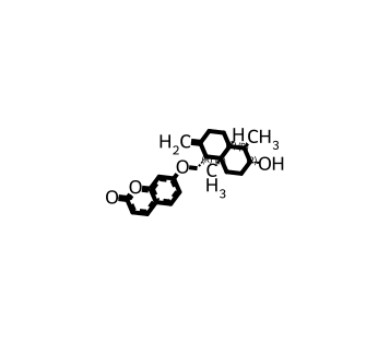 C=C1CC[C@H]2[C@@H](C)[C@H](O)CC[C@@]2(C)[C@@H]1COc1ccc2ccc(=O)oc2c1